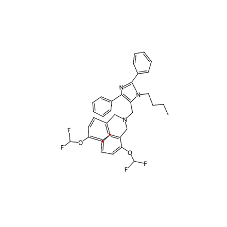 CCCCn1c(-c2ccccc2)nc(-c2ccccc2)c1CN(Cc1ccc(OC(F)F)cc1)Cc1ccccc1OC(F)F